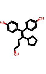 OCCCC(=C(c1ccc(O)cc1)c1ccc(O)cc1)C1CCCC1